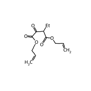 C=CCOC(=O)C(=O)C(CC)C(=O)OCC=C